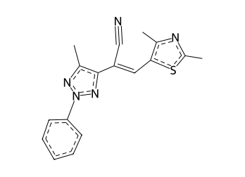 Cc1nc(C)c(C=C(C#N)c2nn(-c3ccccc3)nc2C)s1